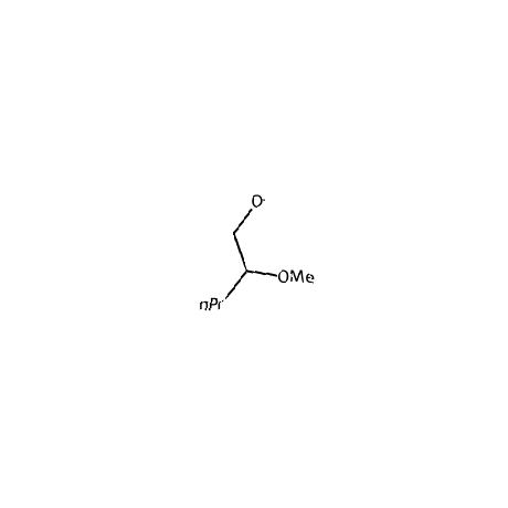 CCCC(C[O])OC